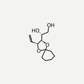 C=C[C@@H]1OC2(CCCCC2)O[C@@H]1[C@H](O)CO